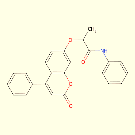 CC(Oc1ccc2c(-c3ccccc3)cc(=O)oc2c1)C(=O)Nc1ccccc1